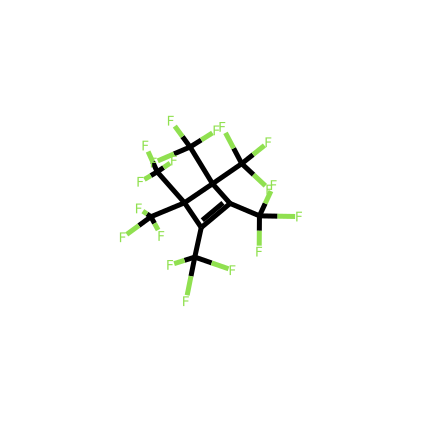 FC(F)(F)C1=C(C(F)(F)F)C(C(F)(F)F)(C(F)(F)F)C1(C(F)(F)F)C(F)(F)F